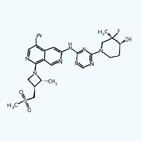 CC(C)c1cnc(N2C[C@H](CS(C)(=O)=O)[C@H]2C)c2cnc(Nc3ncnc(N4CC[C@H](O)[C@@](C)(F)C4)n3)cc12